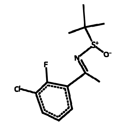 CC(=N[S+]([O-])C(C)(C)C)c1cccc(Cl)c1F